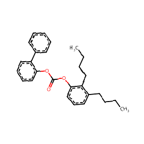 CCCCc1cccc(OC(=O)Oc2ccccc2-c2ccccc2)c1CCCC